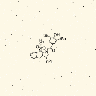 CCCC1CN(CC(=O)c2cc(C(C)(C)C)c(O)c(C(C)(C)C)c2)/C(=N\S(C)(=O)=O)C1Cc1ccccc1